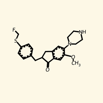 COc1cc2c(cc1N1CCNCC1)CC(Cc1ccc(SCF)cc1)C2=O